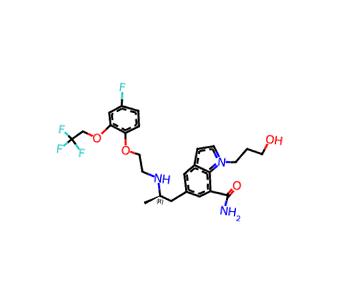 C[C@H](Cc1cc(C(N)=O)c2c(ccn2CCCO)c1)NCCOc1ccc(F)cc1OCC(F)(F)F